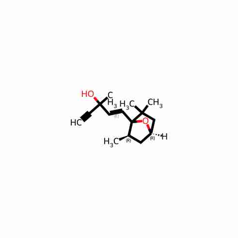 C#CC(C)(O)/C=C/C12O[C@H](C[C@H]1C)CC2(C)C